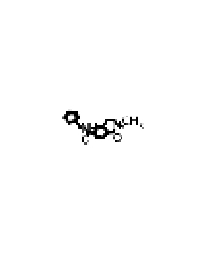 CCN1CCc2cc(C(=O)NCc3ccccc3)ccc2C1=O